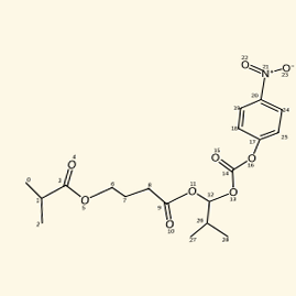 CC(C)C(=O)OCCCC(=O)OC(OC(=O)Oc1ccc([N+](=O)[O-])cc1)C(C)C